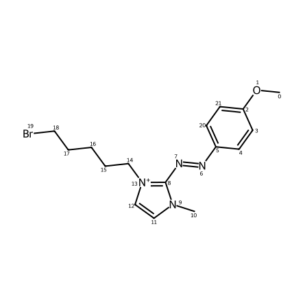 COc1ccc(/N=N/c2n(C)cc[n+]2CCCCCBr)cc1